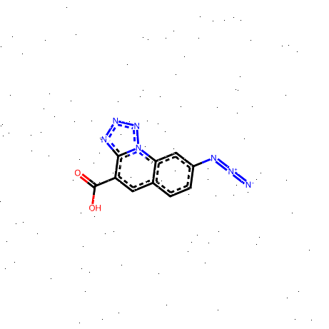 [N-]=[N+]=Nc1ccc2cc(C(=O)O)c3nnnn3c2c1